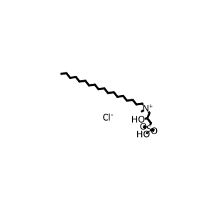 CCCCCCCCCCCCCCCCCC[N+](C)(C)CC(O)CS(=O)(=O)O.[Cl-]